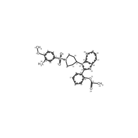 COc1ccc(S(=O)(=O)N2CCC(n3c(-c4ccccc4OC(C)=O)nc4cccnc43)CC2)cc1C